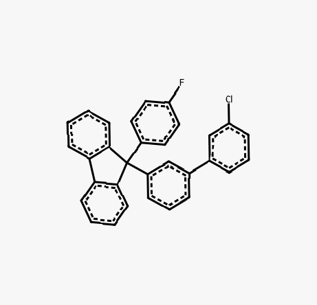 Fc1ccc(C2(c3cccc(-c4cccc(Cl)c4)c3)c3ccccc3-c3ccccc32)cc1